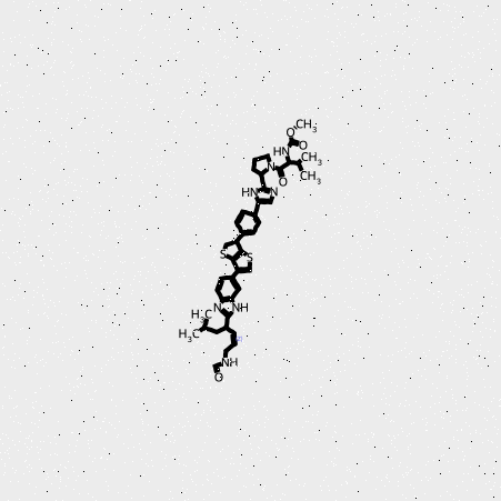 COC(=O)NC(C(=O)N1CCCC1c1ncc(-c2ccc(C3CSc4c(-c5ccc6nc(C(/C=C\CNC=O)CC(C)C)[nH]c6c5)csc43)cc2)[nH]1)C(C)C